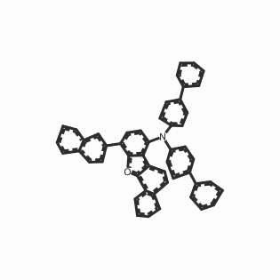 c1ccc(-c2ccc(N(c3ccc(-c4ccccc4)cc3)c3ccc(-c4ccc5ccccc5c4)c4oc5c6ccccc6ccc5c34)cc2)cc1